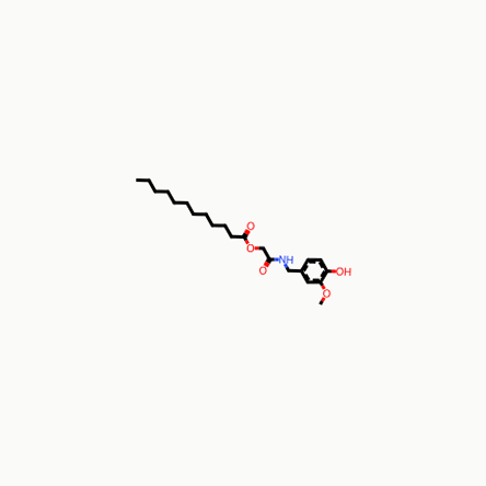 CCCCCCCCCCCC(=O)OCC(=O)NCc1ccc(O)c(OC)c1